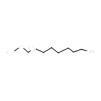 COCNCCCCCCN